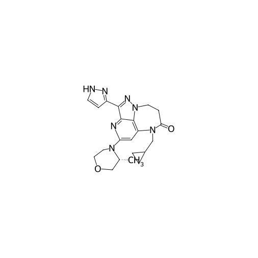 C[C@@H]1COCCN1c1cc2c3c(n1)c(-c1cc[nH]n1)nn3CCC(=O)N2CC1CC1